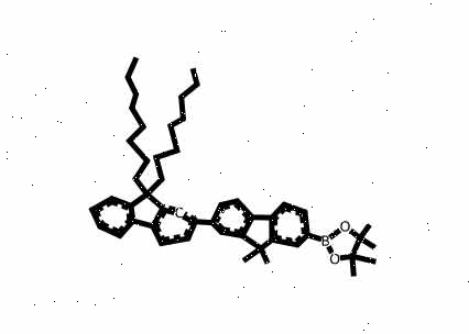 CCCCCCCCC1(CCCCCCCC)c2ccccc2-c2ccc(-c3ccc4c(c3)C(C)(C)c3cc(B5OC(C)(C)C(C)(C)O5)ccc3-4)cc21